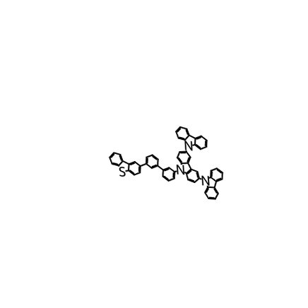 c1cc(-c2cccc(-n3c4ccc(-n5c6ccccc6c6ccccc65)cc4c4cc(-n5c6ccccc6c6ccccc65)ccc43)c2)cc(-c2ccc3sc4ccccc4c3c2)c1